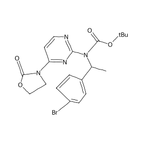 CC(c1ccc(Br)cc1)N(C(=O)OC(C)(C)C)c1nccc(N2CCOC2=O)n1